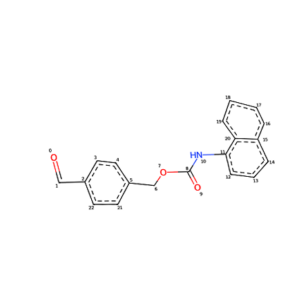 O=Cc1ccc(COC(=O)Nc2cccc3ccccc23)cc1